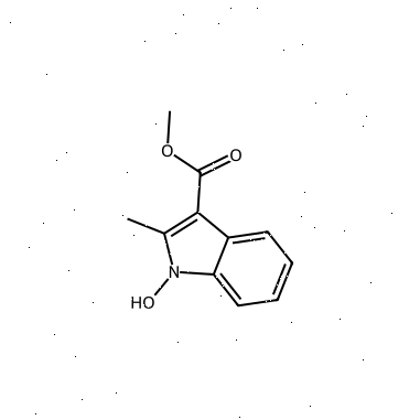 COC(=O)c1c(C)n(O)c2ccccc12